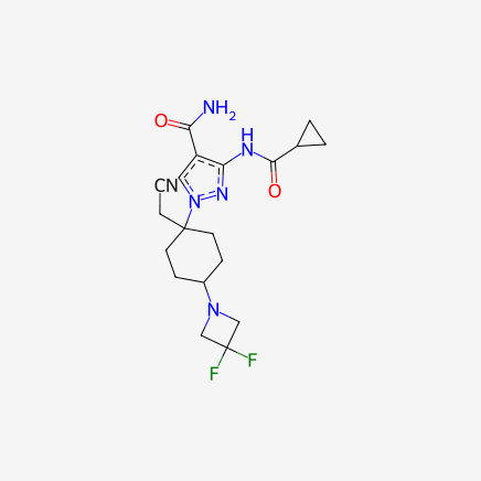 N#CCC1(n2cc(C(N)=O)c(NC(=O)C3CC3)n2)CCC(N2CC(F)(F)C2)CC1